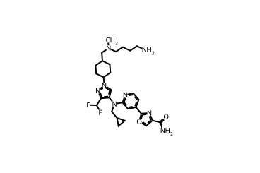 CN(CCCCN)CC1CCC(n2cc(N(CC3CC3)c3cc(-c4nc(C(N)=O)co4)ccn3)c(C(F)F)n2)CC1